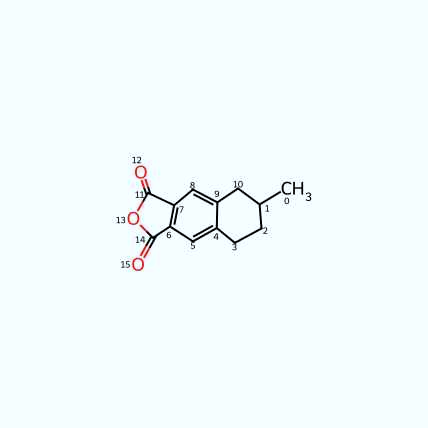 CC1CCc2cc3c(cc2C1)C(=O)OC3=O